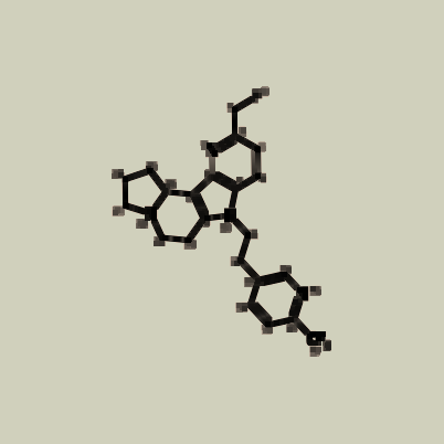 FCc1ccc2c(n1)c1c(n2CCc2ccc(C(F)(F)F)nc2)CCN2CCCC12